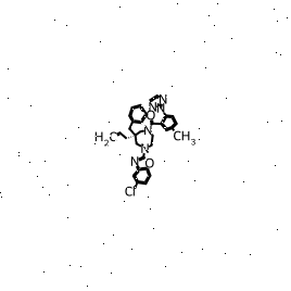 C=CC[C@]1(Cc2ccccc2)CN(C(=O)c2cc(C)ccc2-n2nccn2)CCN(c2nc3cc(Cl)ccc3o2)C1